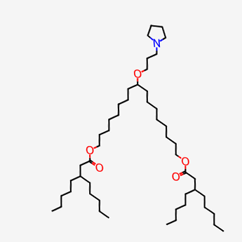 CCCCCC(CCCCC)CC(=O)OCCCCCCCCC(CCCCCCCCOC(=O)CC(CCCCC)CCCCC)OCCCN1CCCC1